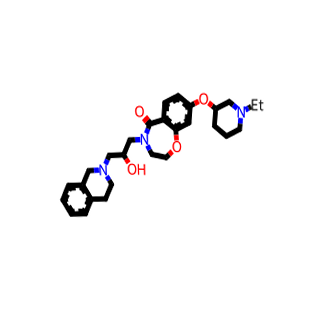 CCN1CCCC(Oc2ccc3c(c2)OCCN(CC(O)CN2CCc4ccccc4C2)C3=O)C1